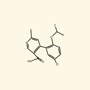 Cc1cc(-c2cc(Cl)ccc2OC(F)F)c(C(=O)O)cn1